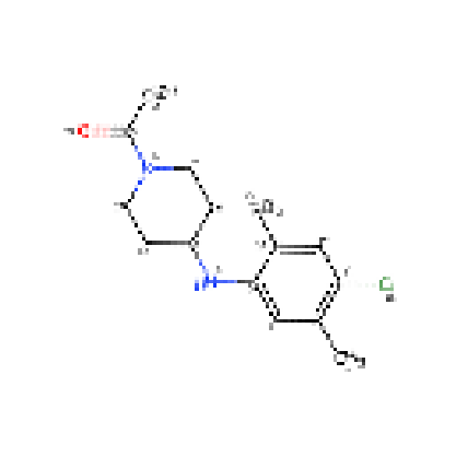 Cc1cc(NC2CCN(C(=O)OCC(C)C)CC2)c([N+](=O)[O-])cc1Cl